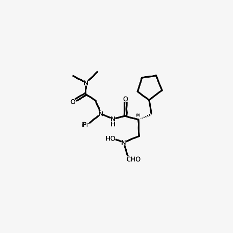 CC(C)N(CC(=O)N(C)C)NC(=O)[C@H](CC1CCCC1)CN(O)C=O